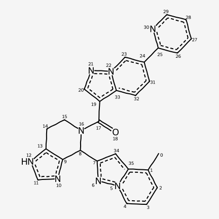 Cc1cccn2nc(C3c4nc[nH]c4CCN3C(=O)c3cnn4cc(-c5ccccn5)ccc34)cc12